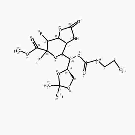 CCCNC(=O)O[C@@H](C1OC(F)(C(=O)OC)C(F)C2OC(=O)NC21)[C@H]1COC(C)(C)O1